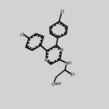 CCC(COC)Nc1cnc(-c2ccc(Cl)cc2)c(-c2ccc(Cl)cc2)n1